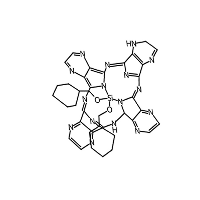 C1=NC2=C(NC1)/C1=N/c3c4nccnc4c4n3[Si](OCC3CCCCC3)(OCC3CCCCC3)N3/C(=N\C2=N1)c1nccnc1C3NC1=N/C(=N\4)c2nccnc21